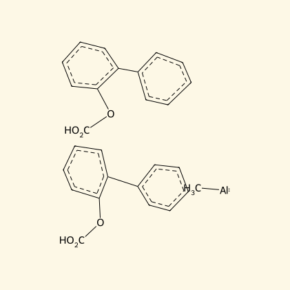 O=C(O)Oc1ccccc1-c1ccccc1.O=C(O)Oc1ccccc1-c1ccccc1.[CH3][Al]